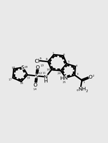 NC(=O)c1cc2ccc(Cl)c(NS(=O)(=O)c3cccs3)c2[nH]1